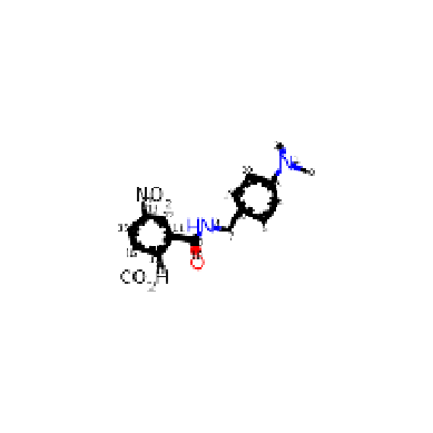 CN(C)c1ccc(CNC(=O)c2cc([N+](=O)[O-])ccc2C(=O)O)cc1